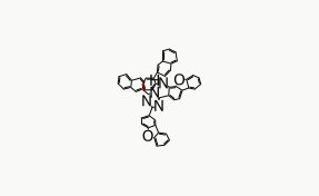 c1ccc2cc(C3N=C(c4ccc5oc6ccccc6c5c4)N=C(c4ccc5c(oc6ccccc65)c4-n4c5ccccc5c5cc6ccccc6cc54)N3)ccc2c1